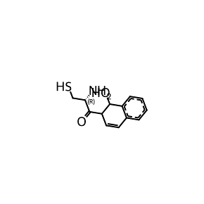 N[C@@H](CS)C(=O)C1C=Cc2ccccc2C1O